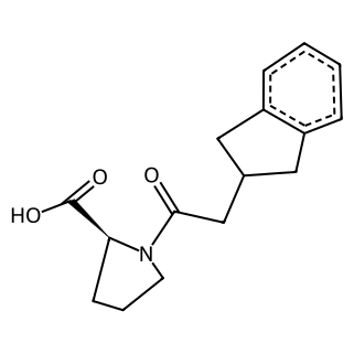 O=C(O)[C@@H]1CCCN1C(=O)CC1Cc2ccccc2C1